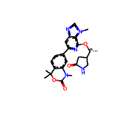 C[C@@H](Oc1nc(-c2ccc3c(c2)N(C)C(=O)OC3(C)C)cc2ncn(C)c12)C1CNC(=O)C1